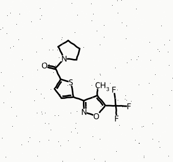 Cc1c(-c2ccc(C(=O)N3CCCC3)s2)noc1C(F)(F)F